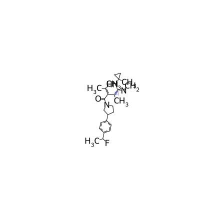 C=N/C(NC1(C)CC1)=C(\C)C(C(=O)N1CCC(c2ccc(C(C)F)cc2)C1)=C(C)C